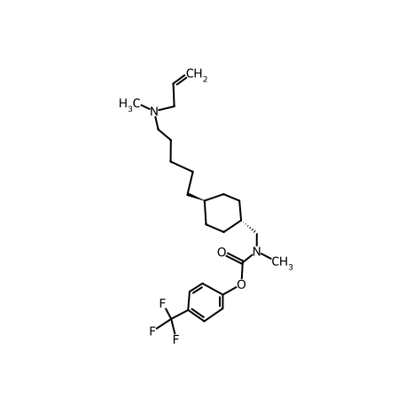 C=CCN(C)CCCCC[C@H]1CC[C@H](CN(C)C(=O)Oc2ccc(C(F)(F)F)cc2)CC1